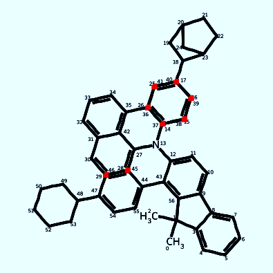 CC1(C)c2ccccc2-c2ccc(N(c3ccc(C4CC5CCC4C5)cc3)c3cccc4cccc(C5CCCCC5)c34)c(-c3ccc(C4CCCCC4)cc3)c21